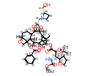 CC[Si](CC)(CC)O[C@@H](C(=O)O[C@H]1C[C@@]2(O)[C@@H](OC(=O)c3ccccc3)[C@H]3[C@@](C)(CC[C@H]4OC[C@]43OC(C)=O)[C@@H]3O[C@H](CN4CC[C@H]4CO)O[C@@H]3C(=C1C)C2(C)C)[C@@H](NC(=O)OC(C)(C)C)C1CCCO1